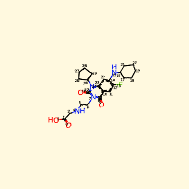 O=C(O)CNCCn1c(=O)c2cc(F)c(NC3CCCCC3)cc2n(C2CCCC2)c1=O